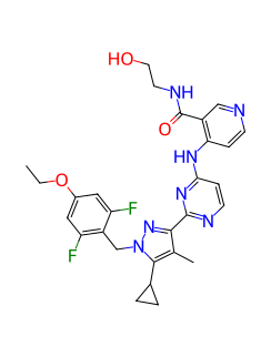 CCOc1cc(F)c(Cn2nc(-c3nccc(Nc4ccncc4C(=O)NCCO)n3)c(C)c2C2CC2)c(F)c1